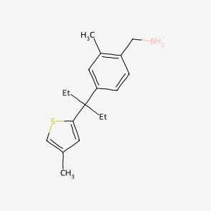 BCc1ccc(C(CC)(CC)c2cc(C)cs2)cc1C